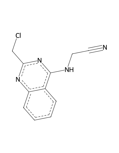 N#CCNc1nc(CCl)nc2ccccc12